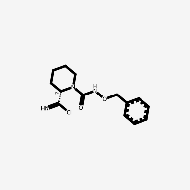 N=C(Cl)[C@@H]1CCCCN1C(=O)NOCc1ccccc1